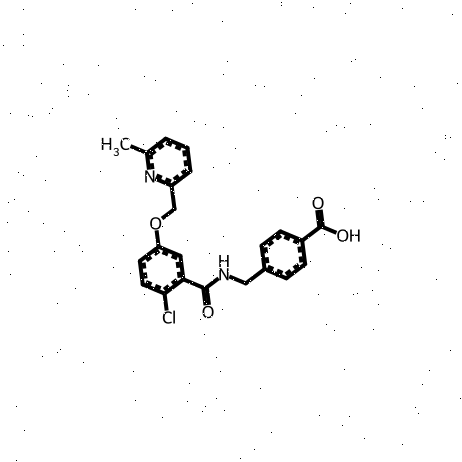 Cc1cccc(COc2ccc(Cl)c(C(=O)NCc3ccc(C(=O)O)cc3)c2)n1